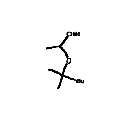 COC(C)OC(C)(C)C(C)(C)C